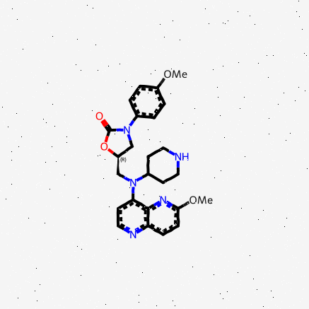 COc1ccc(N2C[C@@H](CN(c3ccnc4ccc(OC)nc34)C3CCNCC3)OC2=O)cc1